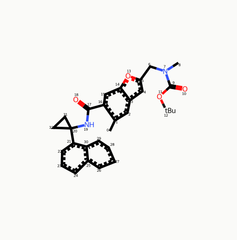 Cc1cc2cc(CN(C)C(=O)OC(C)(C)C)oc2cc1C(=O)NC1(c2cccc3ccccc23)CC1